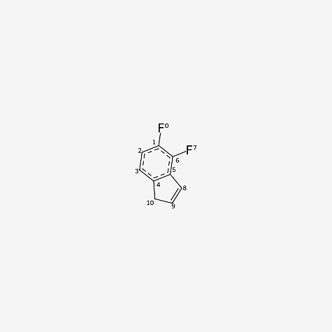 Fc1ccc2c(c1F)C=CC2